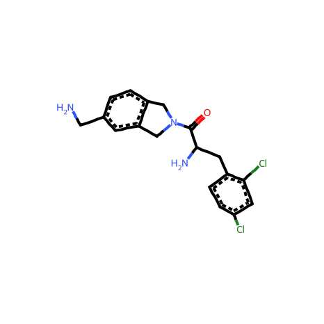 NCc1ccc2c(c1)CN(C(=O)C(N)Cc1ccc(Cl)cc1Cl)C2